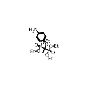 CCOP(=O)(OCC)C(C)(Oc1ccc(N)cc1)P(=O)(OCC)OCC